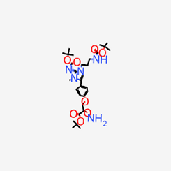 Cn1c(-c2ccc(OCC(ON)C(=O)OC(C)(C)C)cc2)cn(CCCNC(=O)OC(C)(C)C)c1=NC(=O)OC(C)(C)C